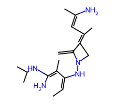 C=C1/C(=C(C)\C=C(\C)N)CN1NC(=C/C)/C(C)=C(\N)NC(C)C